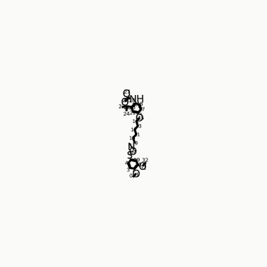 COc1ccc(SON=CCCCCCOc2ccc3c(c2)C(C)(C)OC(=O)N3)cc1OC